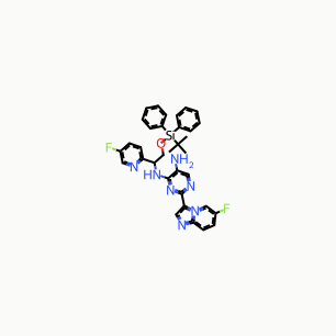 CC(C)(C)[Si](OCC(Nc1nc(-c2cnc3ccc(F)cn23)ncc1N)c1ccc(F)cn1)(c1ccccc1)c1ccccc1